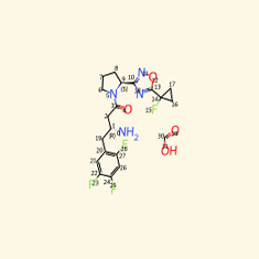 N[C@@H](CC(=O)N1CCC[C@H]1c1noc(C2(F)CC2)n1)Cc1cc(F)c(F)cc1F.O=CO